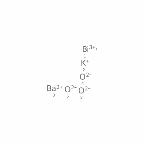 [Ba+2].[Bi+3].[K+].[O-2].[O-2].[O-2]